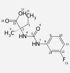 CC[C@@](C)(NC(=O)Nc1cccc(F)c1)C(=O)O